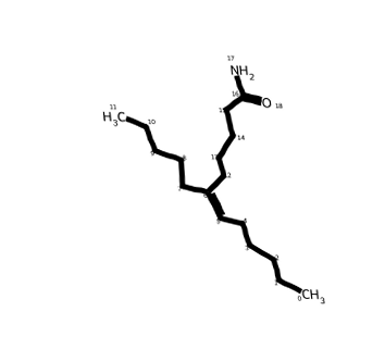 CCCCCC=C(CCCCC)CCCCC(N)=O